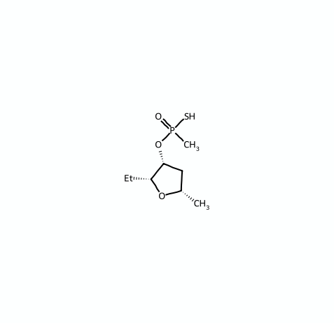 CC[C@H]1O[C@@H](C)C[C@H]1OP(C)(=O)S